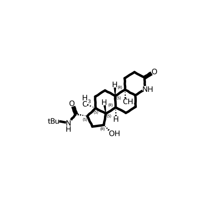 CC(C)(C)NC(=O)[C@H]1C[C@@H](O)[C@H]2[C@@H]3CCC4NC(=O)CC[C@]4(C)[C@H]3CC[C@@]21C